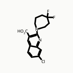 O=C(O)c1cc2ccc(Cl)cc2nc1N1CCCC(F)(F)CC1